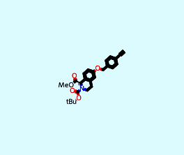 C#Cc1ccc(COc2ccc3c(c2)CCN(C(=O)OC(C)(C)C)[C@H]3C(=O)OC)cc1